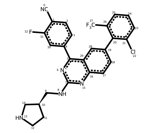 N#Cc1ccc(-c2nc(NC[C@H]3CCNC3)nc3ccc(-c4c(Cl)cccc4C(F)(F)F)cc23)cc1F